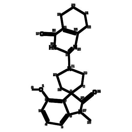 COc1cccc2c1C1(CCN(c3nc4c(c(=O)[nH]3)CCCC4)CC1)C(=O)N2C